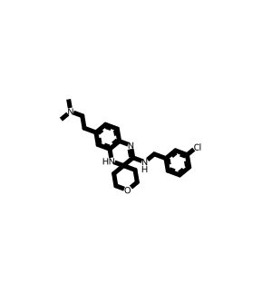 CN(C)CCc1ccc2c(c1)NC1(CCOCC1)C(NCc1cccc(Cl)c1)=N2